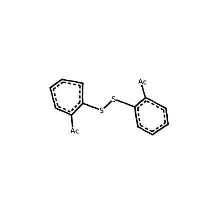 CC(=O)c1ccccc1SSc1ccccc1C(C)=O